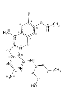 CCC[C@@H](CCO)Nc1nc(N)nc2cnn(Cc3cc(CNC)c(F)cc3OC)c12